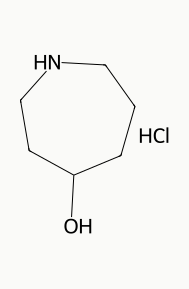 Cl.OC1CCCNCC1